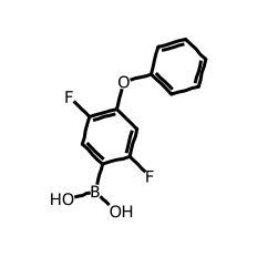 OB(O)c1cc(F)c(Oc2ccccc2)cc1F